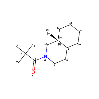 CC(C)(C)C(=O)N1CCC2CCCC[C@H]2C1